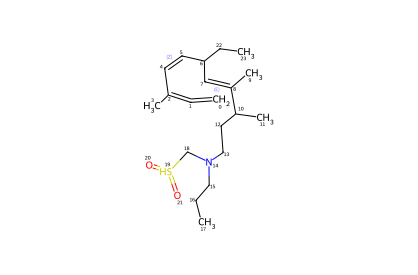 C=C=C(C)/C=C\C(/C=C(\C)C(C)CCN(CCC)C[SH](=O)=O)CC